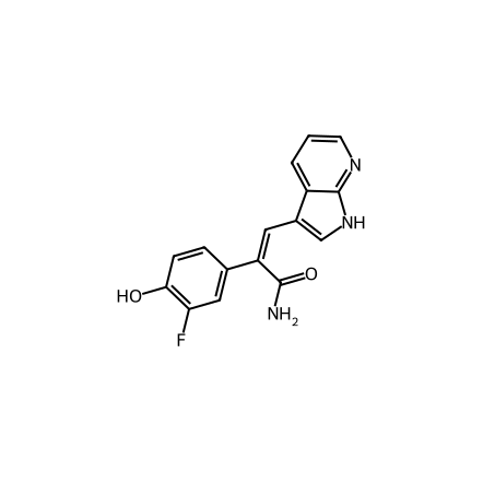 NC(=O)C(=Cc1c[nH]c2ncccc12)c1ccc(O)c(F)c1